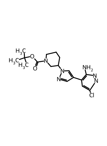 CC(C)(C)OC(=O)N1CCCC(n2cc(-c3cc(Cl)nnc3N)cn2)C1